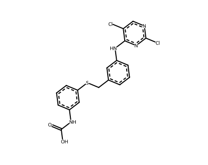 O=C(O)Nc1cccc(SCc2cccc(Nc3nc(Cl)ncc3Cl)c2)c1